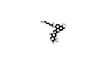 CC[C@@]1(O)C(=O)OCc2c1cc1n(c2=O)Cc2c-1nc1cc(F)c(C)c3c1c2[C@@H](NC(=O)CCCCC(C)(C)C)CC3